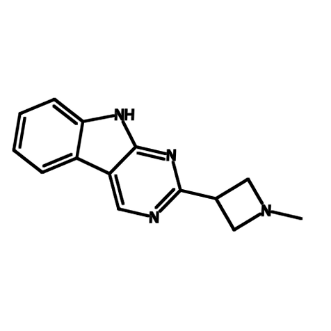 CN1CC(c2ncc3c(n2)[nH]c2ccccc23)C1